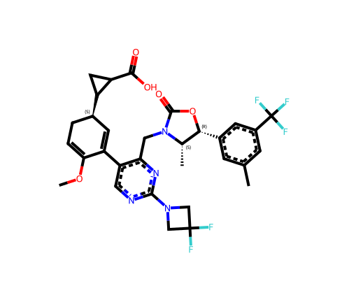 COC1=CC[C@@H](C2CC2C(=O)O)C=C1c1cnc(N2CC(F)(F)C2)nc1CN1C(=O)O[C@H](c2cc(C)cc(C(F)(F)F)c2)[C@@H]1C